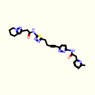 Cc1cccc(CC(=O)Nc2ccc(C#CCCc3nnc(NC(=O)Cc4cc5n(n4)CCCC5)s3)nn2)n1